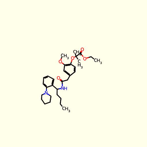 CCCCC(NC(=O)Cc1ccc(OC(C)(C)C(=O)OCC)c(OC)c1)c1ccccc1N1CCCCC1